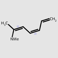 C=C/C=C\C=C(\C)NC